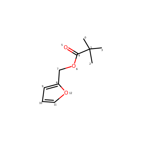 CC(C)(C)C(=O)OCc1ccco1